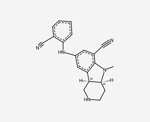 CN1c2c(C#N)cc(Nc3ccccc3C#N)cc2[C@@H]2CNCC[C@@H]21